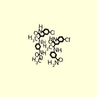 CC(Nc1cccc(C(N)=O)c1)c1cc2cc(Cl)ccc2[nH]c1=O.COC(=O)Nc1cccc(NC(C)c2cc3cc(Cl)ccc3[nH]c2=O)c1